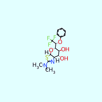 CN(C)C1=N[C@@H]2[C@@H](O)[C@H](O)[C@@H]([C@@H](Oc3ccccc3)C(F)(F)F)O[C@@H]2S1